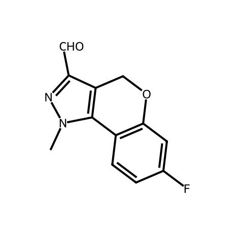 Cn1nc(C=O)c2c1-c1ccc(F)cc1OC2